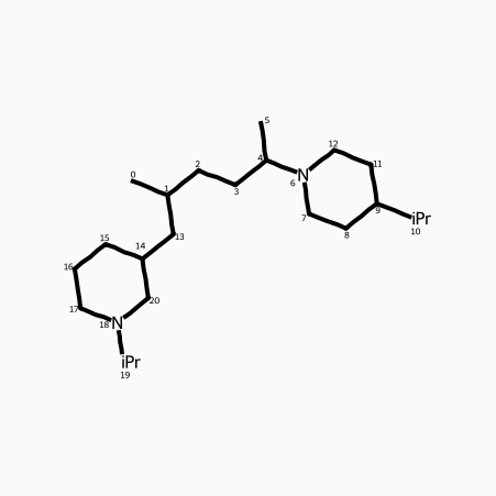 CC(CCC(C)N1CCC(C(C)C)CC1)CC1CCCN(C(C)C)C1